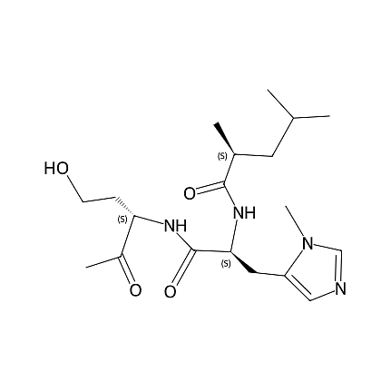 CC(=O)[C@H](CCO)NC(=O)[C@H](Cc1cncn1C)NC(=O)[C@@H](C)CC(C)C